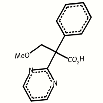 COCC(C(=O)O)(c1ccccc1)c1ncccn1